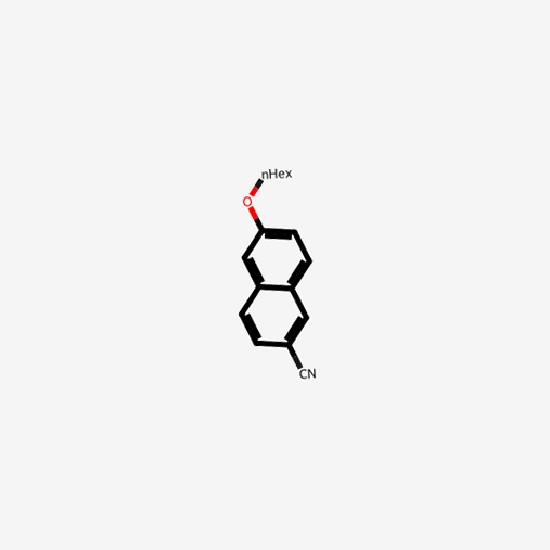 CCCCCCOc1ccc2cc(C#N)ccc2c1